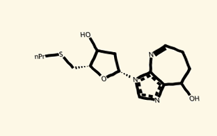 CCCSC[C@H]1O[C@@H](n2cnc3c2N=CCCC3O)CC1O